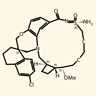 CO[C@H]1CCCCC[S@](N)(=O)=NC(=O)c2ccc3c(c2)N(C[C@@H]2CC[C@H]21)C[C@@]1(CCCc2cc(Cl)ccc21)CO3